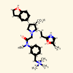 CCCCN(C(=O)CN1C[C@H](c2ccc3c(c2)CCO3)[C@@H](C(=O)O)[C@@H]1CCc1ncc(C)o1)c1cccc(C[N+](C)(C)C)c1